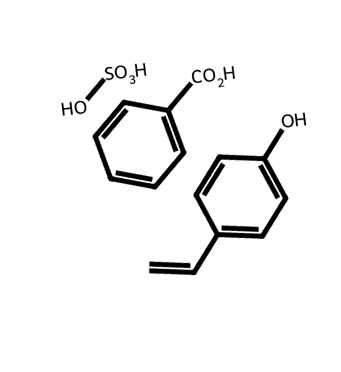 C=Cc1ccc(O)cc1.O=C(O)c1ccccc1.O=S(=O)(O)O